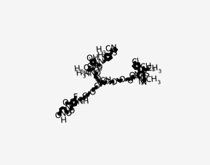 Cc1ncsc1-c1ccc(CNC(=O)[C@@H]2C[C@@H](O)CN2C(=O)[C@@H](NC(=O)COCC(C)(COCCOCCOCCNc2cc3c(cc2F)C(=O)N(C2CCC(=O)NC2=O)C3=O)COCCOCCOCCOC(=O)C[C@@H]2N=C(c3ccc(Cl)cc3)c3c(sc(C)c3C)-n3c(C)nnc32)C(C)(C)C)cc1